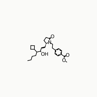 CCCCC(C(O)/C=C/[C@H]1CCC(=O)N1CCc1ccc(C(=O)OC)cc1)C1CCC1